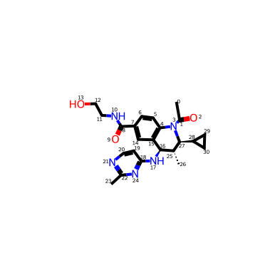 CC(=O)N1c2ccc(C(=O)NCCO)cc2[C@H](Nc2ccnc(C)n2)[C@@H](C)[C@@H]1C1CC1